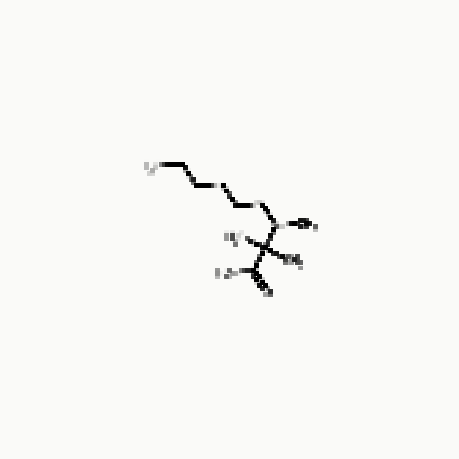 CCCCCCC(C)C(C)(C)C(=O)O